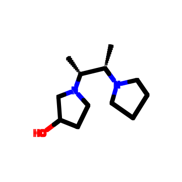 C[C@H]([C@H](C)N1CCCC1)N1CCC(O)C1